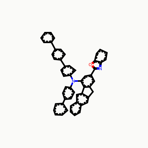 c1ccc(-c2ccc(-c3ccc(N(c4ccc(-c5ccccc5)cc4)c4cc(-c5nc6ccccc6o5)cc5c4-c4cc6ccccc6cc4C5)cc3)cc2)cc1